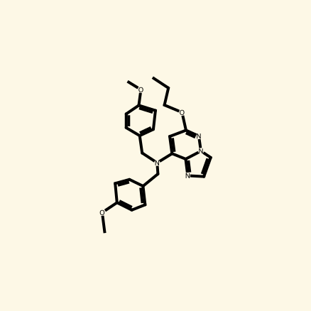 CCCOc1cc(N(Cc2ccc(OC)cc2)Cc2ccc(OC)cc2)c2nccn2n1